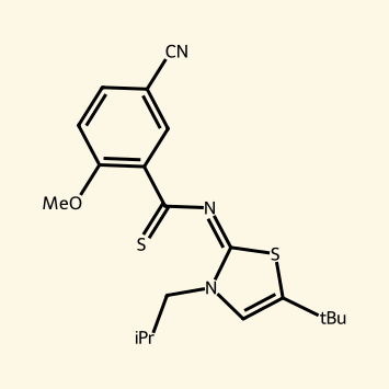 COc1ccc(C#N)cc1C(=S)N=c1sc(C(C)(C)C)cn1CC(C)C